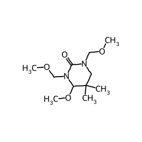 COCN1CC(C)(C)C(OC)N(COC)C1=O